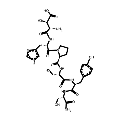 NC(=O)[C@H](CO)NC(=O)[C@H](Cc1ccc(O)cc1)NC(=O)[C@H](CS)NC(=O)[C@@H]1CCCN1C(=O)[C@H](Cc1c[nH]cn1)NC(=O)[C@@H](N)[C@@H](S)C(=O)O